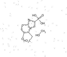 CO.O=C(O)Cc1c(Cl)ccc2nc(P(=O)(O)O)cn12